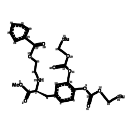 COC(=O)[C@H](Cc1ccc(OC(=O)OCC(C)(C)C)c(OC(=O)OCC(C)(C)C)c1)NCCOC(=O)c1ccccc1